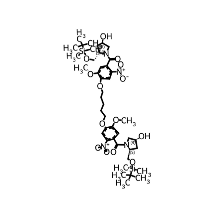 COc1cc(C(=O)N2C[C@H](O)C[C@H]2CO[Si](C)(C)C(C)(C)C)c([N+](=O)[O-])cc1OCCCCCOc1cc([N+](=O)[O-])c(C(=O)N2C[C@H](O)C[C@H]2CO[Si](C)(C)C(C)(C)C)cc1OC